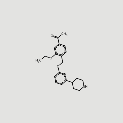 CCOc1cc(C(C)=O)ccc1COc1cccc(C2CCNCC2)n1